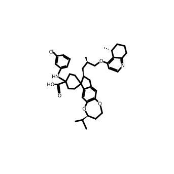 CC(C)[C@@H]1CCOc2cc3c(cc2O1)C1(CCC(Nc2cccc(Cl)c2)(C(=O)O)CC1)[C@@H](C[C@@H](C)COc1ccnc2c1[C@H](C)CCC2)C3